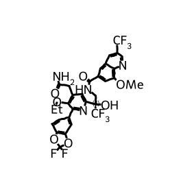 CCOc1c(CC(N)=O)cc([C@@](O)(CNC(=O)c2cc(OC)c3ncc(C(F)(F)F)cc3c2)C(F)(F)F)nc1-c1ccc2c(c1)OC(F)(F)O2